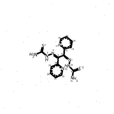 NC(=S)NN=C(C(=NNC(N)=S)c1ccccn1)c1ccccn1